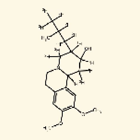 [2H]C([2H])([2H])C([2H])(C)C([2H])([2H])C1([2H])C([2H])([2H])N2CCc3cc(OC)c(OC)cc3C2([2H])C([2H])([2H])C1([2H])O